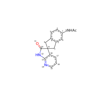 CC(=O)Nc1ccc2c(c1)CC1(C2)C(=O)Nc2ncccc21